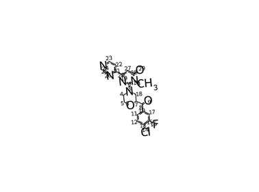 Cn1c(N2CCOC(C(=O)c3ccc(Cl)c(F)c3)C2)nc(-c2ccncn2)cc1=O